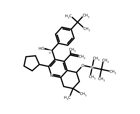 C=C(C)c1c2c(nc(C3CCCC3)c1[C@@H](O)c1ccc(C(C)(C)C)cc1)CC(C)(C)CC2O[Si](C)(C)C(C)(C)C